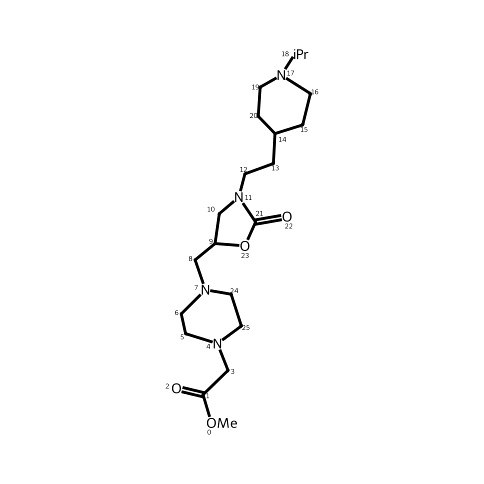 COC(=O)CN1CCN(CC2CN(CCC3CCN(C(C)C)CC3)C(=O)O2)CC1